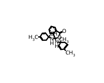 CC1=CCC(C)(NC2(NC3(C)C=CC(C)=CC3)OC(=O)c3ccccc32)C=C1